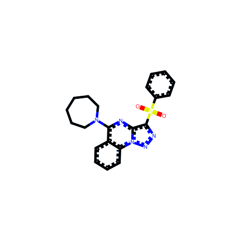 O=S(=O)(c1ccccc1)c1nnn2c1nc(N1CCCCCC1)c1ccccc12